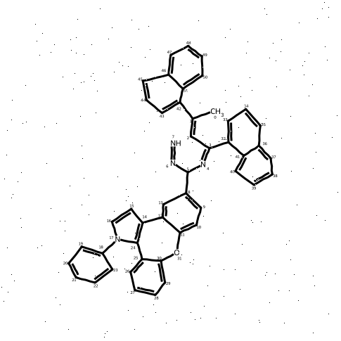 C/C(=C\C(=N/C(N=N)c1ccc2c(c1)-c1ccn(-c3ccccc3)c1-c1ccccc1O2)c1cccc2ccccc12)c1cccc2ccccc12